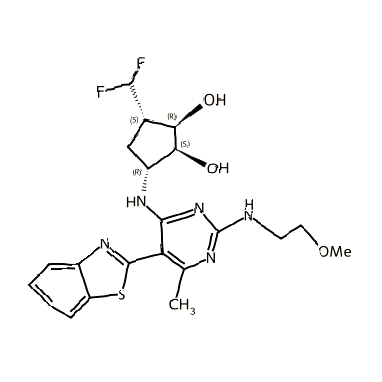 COCCNc1nc(C)c(-c2nc3ccccc3s2)c(N[C@@H]2C[C@H](C(F)F)[C@@H](O)[C@H]2O)n1